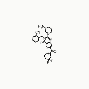 N#Cc1ccccc1Cn1c(N2CCCC(N)C2)nc2cc(C(=O)N3CCCC(F)(F)C3)sc2c1=O